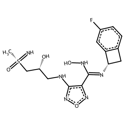 C[S@@](=N)(=O)C[C@H](O)CNc1nonc1C(=N[C@H]1Cc2ccc(F)cc21)NO